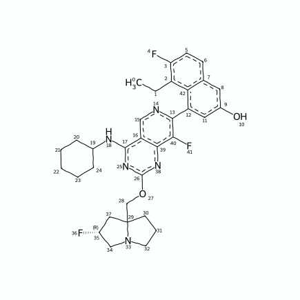 CCc1c(F)ccc2cc(O)cc(-c3ncc4c(NC5CCCCC5)nc(OCC56CCCN5C[C@H](F)C6)nc4c3F)c12